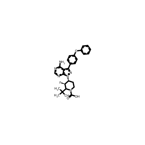 CC(C)(C)C1[C@@H](F)[C@@H](n2nc(-c3ccc(Oc4ccccc4)cc3)c3c(N)ncnc32)CCN1C(=O)O